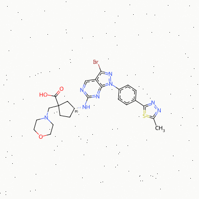 Cc1nnc(-c2ccc(-n3nc(Br)c4cnc(N[C@@H]5CCC(CN6CCOCC6)(C(=O)O)C5)nc43)cc2)s1